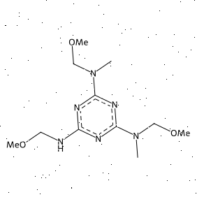 COCNc1nc(N(C)COC)nc(N(C)COC)n1